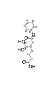 O=C(O)CCCC(CC(=O)Oc1ccccc1)=C(O)O